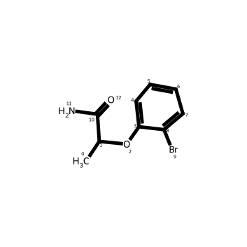 CC(Oc1ccccc1Br)C(N)=O